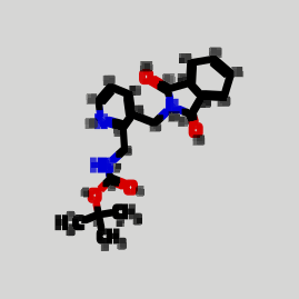 CC(C)(C)OC(=O)NCc1ncccc1CN1C(=O)c2ccccc2C1=O